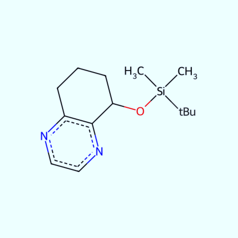 CC(C)(C)[Si](C)(C)OC1CCCc2nccnc21